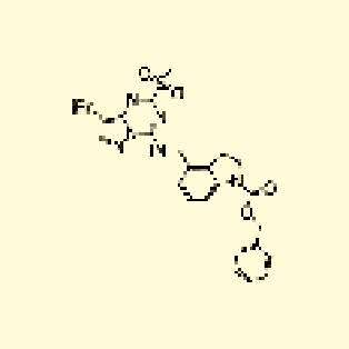 CC(C)c1cnn2c(NCc3cccc4c3CCN4C(=O)OCc3ccccc3)nc(S(C)(=O)=O)nc12